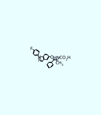 C[C@H](NC(=O)O)[C@H](Oc1ccc2c(cnn2-c2ccc(F)cc2)c1)c1ccccc1